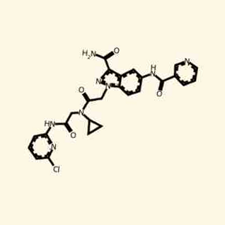 NC(=O)c1nn(CC(=O)N(CC(=O)Nc2cccc(Cl)n2)C2CC2)c2ccc(NC(=O)c3cccnc3)cc12